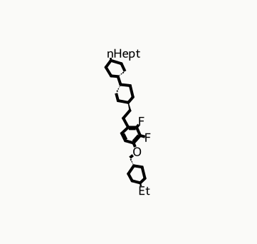 CCCCCCC[C@H]1CC[C@H]([C@H]2CC[C@H](CCc3ccc(OC[C@H]4CC[C@H](CC)CC4)c(F)c3F)CC2)CC1